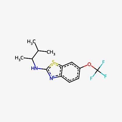 CC(C)C(C)Nc1nc2ccc(OC(F)(F)F)cc2s1